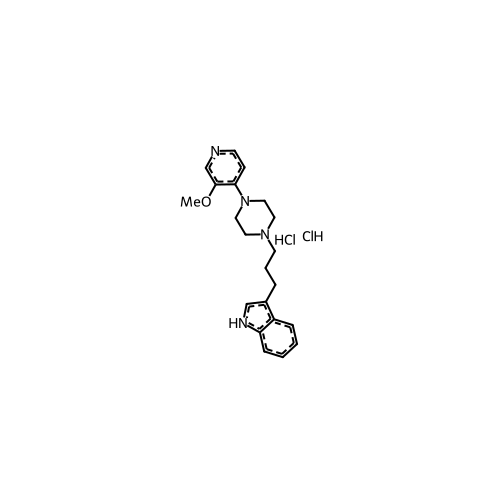 COc1cnccc1N1CCN(CCCc2c[nH]c3ccccc23)CC1.Cl.Cl